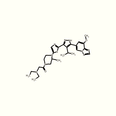 CCN(CC)CC(=O)N1CCN(c2cnc(-c3n[nH]c(-c4cc(OC)c5ncnn5c4)c3C(C)C)s2)C(C)C1